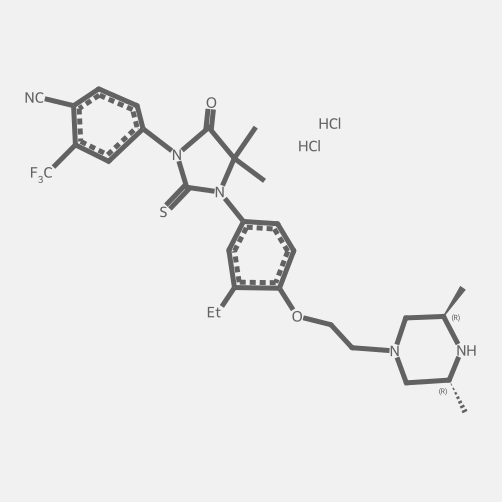 CCc1cc(N2C(=S)N(c3ccc(C#N)c(C(F)(F)F)c3)C(=O)C2(C)C)ccc1OCCN1C[C@@H](C)N[C@H](C)C1.Cl.Cl